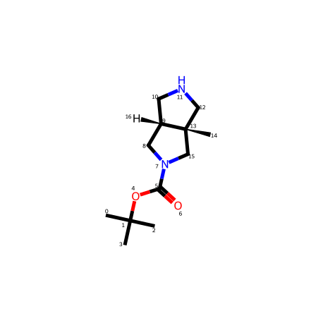 CC(C)(C)OC(=O)N1C[C@@H]2CNC[C@]2(C)C1